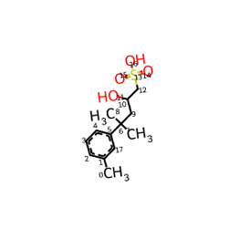 Cc1cccc(C(C)(C)CC(O)CS(=O)(=O)O)c1